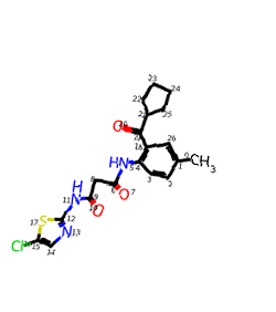 Cc1ccc(NC(=O)CC(=O)Nc2ncc(Cl)s2)c(C(=O)C2CCCC2)c1